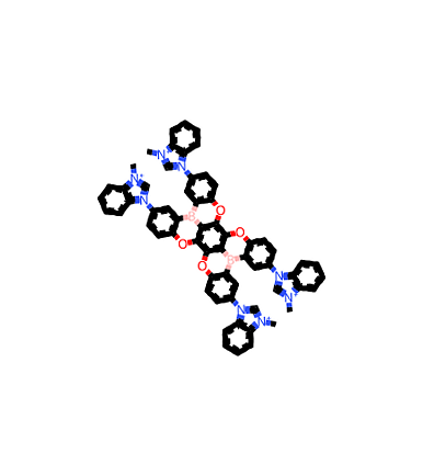 C[n+]1cn(-c2ccc3c(c2)B2c4cc(-n5c[n+](C)c6ccccc65)ccc4Oc4c5c6c(c(c42)O3)Oc2ccc(-n3c[n+](C)c4ccccc43)cc2B6c2cc(-n3c[n+](C)c4ccccc43)ccc2O5)c2ccccc21